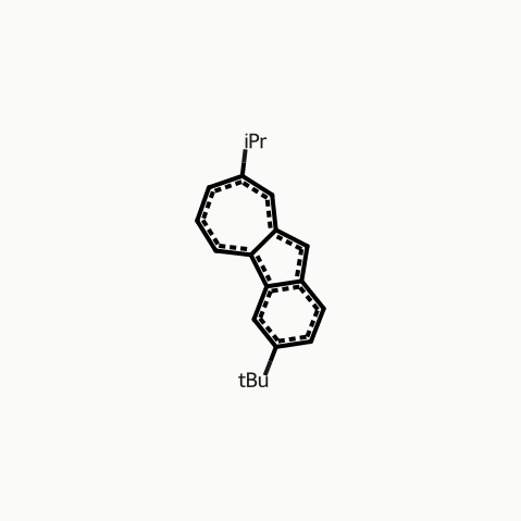 CC(C)c1cccc2c3cc(C(C)(C)C)ccc3cc-2c1